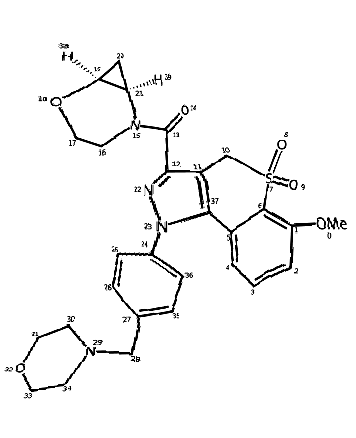 COc1cccc2c1S(=O)(=O)Cc1c(C(=O)N3CCO[C@H]4C[C@H]43)nn(-c3ccc(CN4CCOCC4)cc3)c1-2